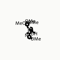 C=CC12C3CC[N+](Cc4cc(OC)c(OC)c(OC)c4)(CC31)[C@@H]2[C@H](O)c1ccnc2ccc(OC)cc12